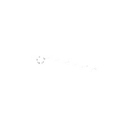 Cc1ccc(CCCOCCCCCCBr)s1